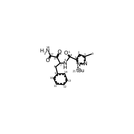 Cc1cc(C(=O)NC(Cc2ccccc2)C(=O)C(N)=O)n(C(C)(C)C)n1